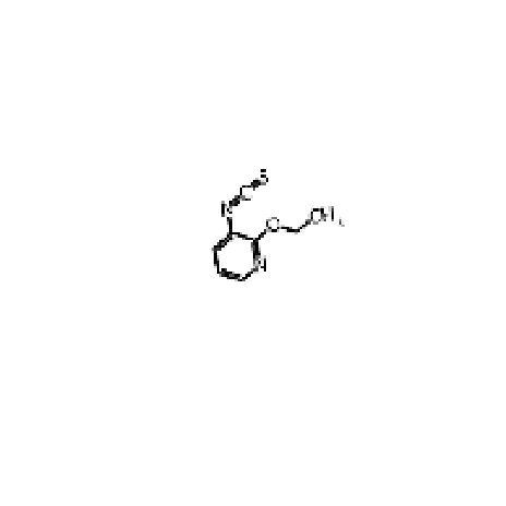 CCOc1ncccc1N=C=S